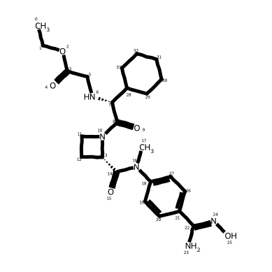 CCOC(=O)CN[C@@H](C(=O)N1CC[C@H]1C(=O)N(C)c1ccc(C(N)=NO)cc1)C1CCCCC1